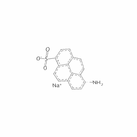 Nc1ccc2ccc3c(S(=O)(=O)[O-])ccc4ccc1c2c43.[Na+]